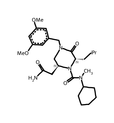 COc1cc(CN2C[C@H](CC(N)=O)N(C(=O)N(C)C3CCCCC3)[C@@H](CC(C)C)C2=O)cc(OC)c1